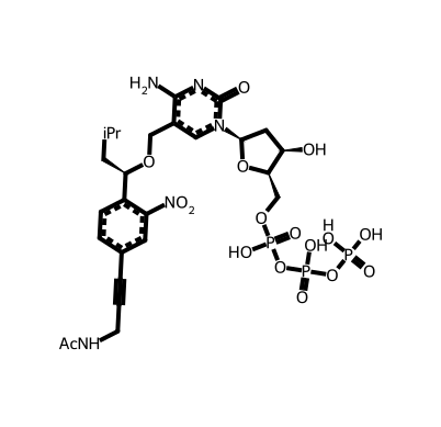 CC(=O)NCC#Cc1ccc([C@@H](CC(C)C)OCc2cn([C@H]3C[C@@H](O)[C@@H](COP(=O)(O)OP(=O)(O)OP(=O)(O)O)O3)c(=O)nc2N)c([N+](=O)[O-])c1